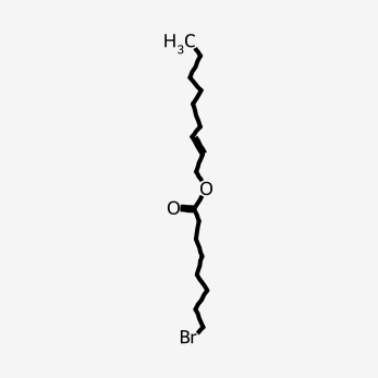 CCCCCCC=CCOC(=O)CCCCCCCBr